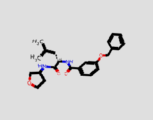 CC(C)C[C@H](NC(=O)c1cccc(OCc2ccccc2)c1)C(=O)NC1CCOC1